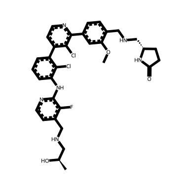 COc1cc(-c2nccc(-c3cccc(Nc4nccc(CNC[C@@H](C)O)c4F)c3Cl)c2Cl)ccc1CNC[C@@H]1CCC(=O)N1